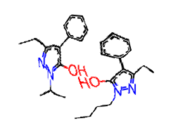 CCCCn1nc(CC)c(-c2ccccc2)c1O.CCc1nn(C(C)C)c(O)c1-c1ccccc1